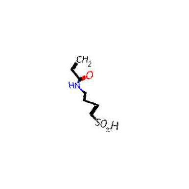 C=CC(=O)NCCC=CS(=O)(=O)O